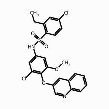 CCc1cc(Cl)ccc1S(=O)(=O)Nc1cc(Cl)c(Oc2cnc3ccccc3c2)c(OC)c1